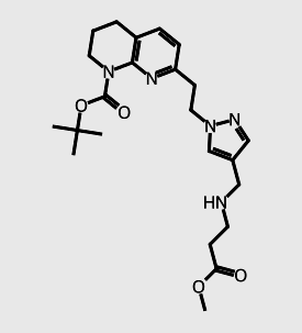 COC(=O)CCNCc1cnn(CCc2ccc3c(n2)N(C(=O)OC(C)(C)C)CCC3)c1